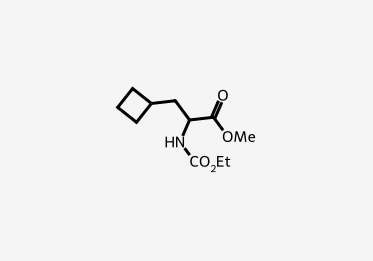 CCOC(=O)NC(CC1CCC1)C(=O)OC